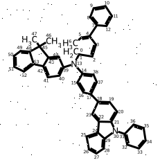 C=C(/C=C\C(=C/C)c1ccccc1)N(c1ccc(-c2ccc3c(c2)c2ccccc2n3-c2ccccc2)cc1)c1ccc2c(c1)C(C)(C)c1ccccc1-2